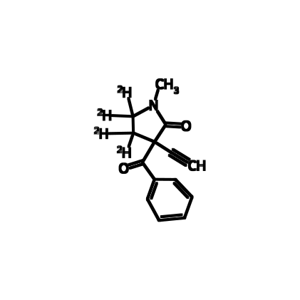 [2H]C1([2H])N(C)C(=O)C(C#C)(C(=O)c2ccccc2)C1([2H])[2H]